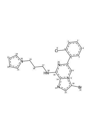 Clc1ccccc1-c1cn2c(Br)cnc2c(NCCCn2cccc2)n1